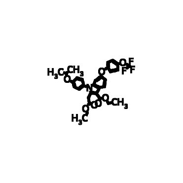 CCOC(=O)Cc1c(C(=O)OCC)c2ccc(Oc3ccc(OC(F)(F)F)cc3)cc2n1-c1ccc(OC(C)C)cc1